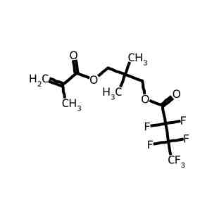 C=C(C)C(=O)OCC(C)(C)COC(=O)C(F)(F)C(F)(F)C(F)(F)F